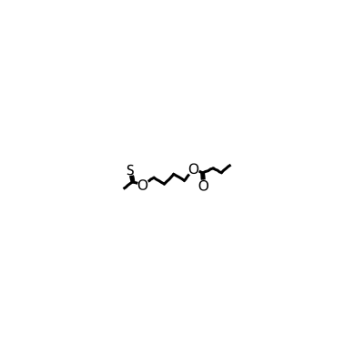 CCCC(=O)OCCCCOC(C)=S